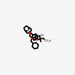 CC(C)(CC(=O)O)CC(=O)N(CCN1C2CCC1CC(c1cccc(O)c1)C2)CC1CCCCC1